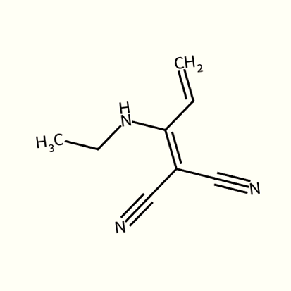 C=CC(NCC)=C(C#N)C#N